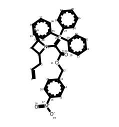 C=CCC1CC(=O)N1C(C(=O)OCc1ccc([N+](=O)[O-])cc1)=P(c1ccccc1)(c1ccccc1)c1ccccc1